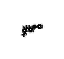 CC(C)Oc1ccc(N)c(C(=N)c2ccnc(N3CCC(c4ccncc4)C3)c2)c1